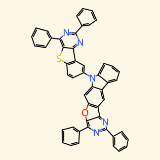 c1ccc(-c2nc(-c3ccccc3)c3oc4cc5c(cc4c3n2)c2ccccc2n5-c2ccc3sc4c(-c5ccccc5)nc(-c5ccccc5)nc4c3c2)cc1